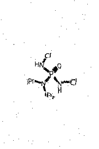 CC(C)N(C(C)C)P(=O)(NCl)NCl